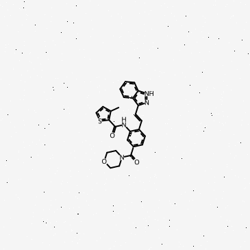 Cc1ccsc1C(=O)Nc1cc(C(=O)N2CCOCC2)ccc1C=Cc1n[nH]c2ccccc12